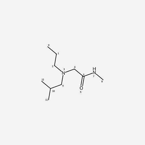 CCCN(CC(=O)NC)CC(C)C